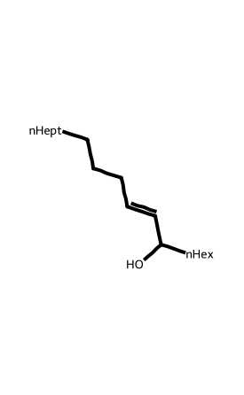 CCCCCCCCCCC=CC(O)CCCCCC